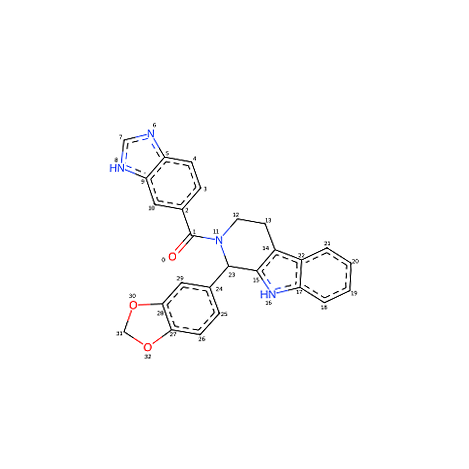 O=C(c1ccc2nc[nH]c2c1)N1CCc2c([nH]c3ccccc23)C1c1ccc2c(c1)OCO2